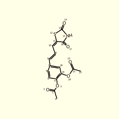 CC(=O)Oc1ccc(C=CC=C2SC(=O)NC2=O)cc1OC(C)=O